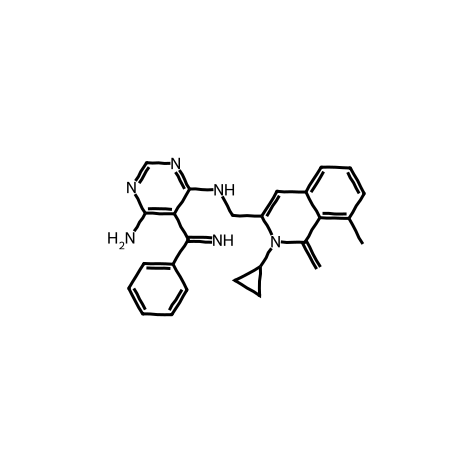 C=C1c2c(C)cccc2C=C(CNc2ncnc(N)c2C(=N)c2ccccc2)N1C1CC1